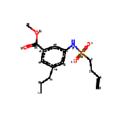 C=CCCS(=O)(=O)Nc1cc(CCC)cc(C(=O)OC)c1